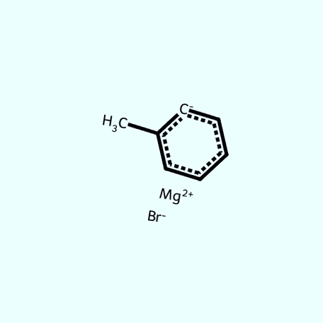 Cc1[c-]cccc1.[Br-].[Mg+2]